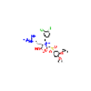 COc1ccc(S(=O)(=O)CC(=O)N(NCc2ccc(Cl)c(Cl)c2)[C@@H](CCCNC(=N)N)C(=O)O)cc1OC